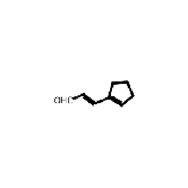 O=CC=CC1=CCCC1